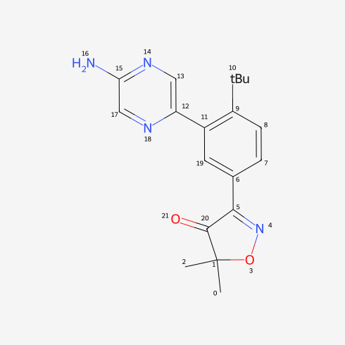 CC1(C)ON=C(c2ccc(C(C)(C)C)c(-c3cnc(N)cn3)c2)C1=O